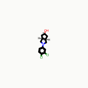 O[C@@H]1C[C@@H]2CN(c3ccc(Cl)c(Cl)c3)C[C@@H]2C1